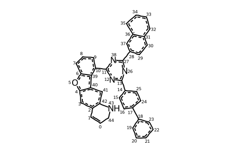 C1=Cc2cc3oc4cccc(-c5nc(-c6ccc(-c7ccccc7)cc6)nc(-c6ccc7ccccc7c6)n5)c4c3cc2NC1